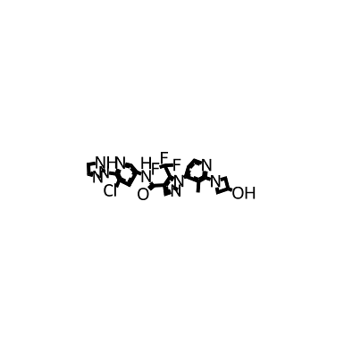 Cc1c(-n2ncc(C(=O)Nc3cnc(N4N=CCN4)c(Cl)c3)c2C(F)(F)F)ccnc1N1CC(O)C1